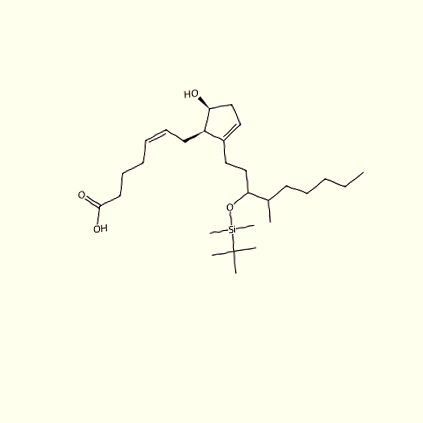 CCCCCC(C)C(CCC1=CC[C@H](O)[C@@H]1C/C=C\CCCC(=O)O)O[Si](C)(C)C(C)(C)C